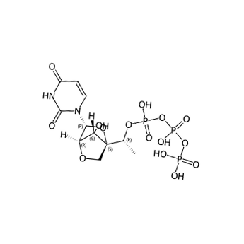 C[C@@H](OP(=O)(O)OP(=O)(O)OP(=O)(O)O)[C@@]12CO[C@@H]([C@H](n3ccc(=O)[nH]c3=O)O1)[C@@H]2O